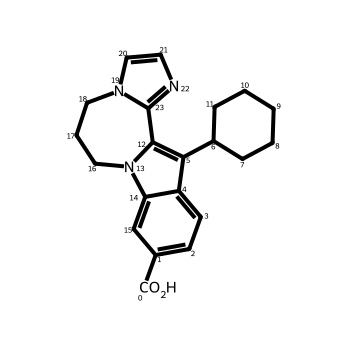 O=C(O)c1ccc2c(C3CCCCC3)c3n(c2c1)CCCn1ccnc1-3